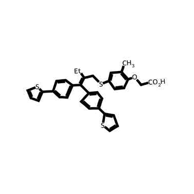 CCC(CSc1ccc(OCC(=O)O)c(C)c1)=C(c1ccc(-c2cccs2)cc1)c1ccc(-c2cccs2)cc1